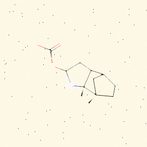 O=C(O)OC1CC2C3CC[C@@H](C3)[C@@H]2N1